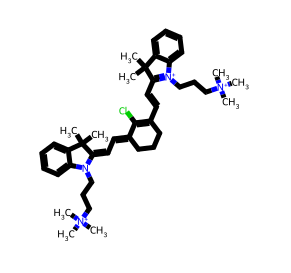 CC1(C)C(/C=C/C2=C(Cl)C(=C/C=C3/N(CCC[N+](C)(C)C)c4ccccc4C3(C)C)/CCC2)=[N+](CCC[N+](C)(C)C)c2ccccc21